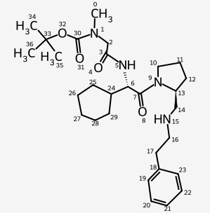 CN(CC(=O)N[C@H](C(=O)N1CCC[C@H]1CNCCc1ccccc1)C1CCCCC1)C(=O)OC(C)(C)C